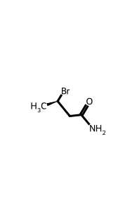 C[C@@H](Br)CC(N)=O